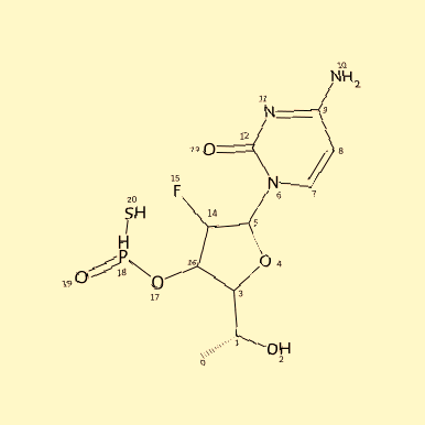 C[C@@H](O)C1OC(n2ccc(N)nc2=O)C(F)C1O[PH](=O)S